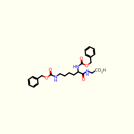 O=C(O)CNC(=O)C(CCCCNC(=O)OCc1ccccc1)NC(=O)OCc1ccccc1